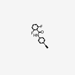 C#Cc1ccc(NC(=O)c2c(F)cccc2F)cc1